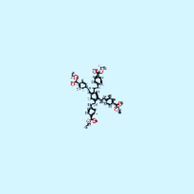 CCOC(=O)c1ccc(CCc2cc(CCc3ccc(C(=O)OCC)cc3)c(CCc3ccc(C(=O)OCC)cc3)cc2CCc2ccc(C(=O)OCC)cc2)cc1